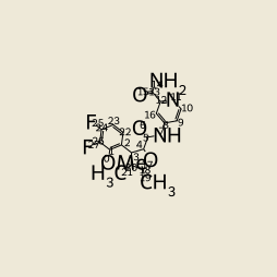 COc1c(C2C(C(=O)Nc3ccnc(C(N)=O)c3)OC(C)C2C)ccc(F)c1F